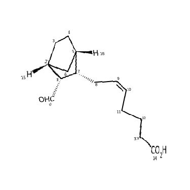 O=C[C@@H]1[C@@H]2CC[C@@H](C2)[C@@H]1C/C=C\CCCC(=O)O